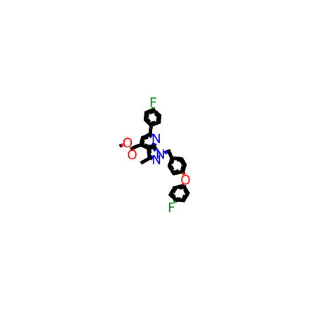 COC(=O)c1cc(-c2ccc(F)cc2)nc2c1c(C)nn2Cc1ccc(Oc2ccc(F)cc2)cc1